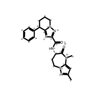 Cc1cc2n(n1)CC[C@H](NC(=O)c1nc3n(n1)CCCC3c1ccccc1)C(=O)N2C